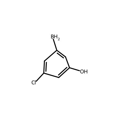 Bc1cc(O)cc(Cl)c1